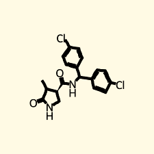 CC1C(=O)NC[C@@H]1C(=O)NC(c1ccc(Cl)cc1)c1ccc(Cl)cc1